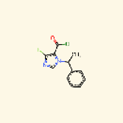 CC(c1ccccc1)n1cnc(F)c1C(=O)Cl